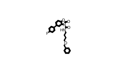 O=C(NCCCCOCc1ccccc1)n1c(=O)oc2ccc(-c3ccc(F)cc3)cc21